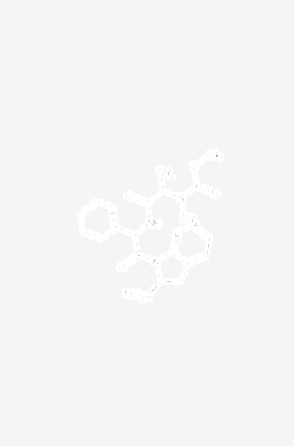 CCOC(=O)[C@@H]1Cc2ccccc2N1C(=O)C(NC(=O)C(C)N(C)C(=O)OC(C)(C)C)c1ccccc1